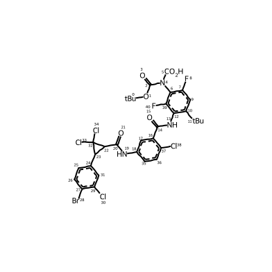 CC(C)(C)OC(=O)N(C(=O)O)c1c(F)cc(C(C)(C)C)c(NC(=O)c2cc(NC(=O)C3C(c4ccc(Br)c(Cl)c4)C3(Cl)Cl)ccc2Cl)c1F